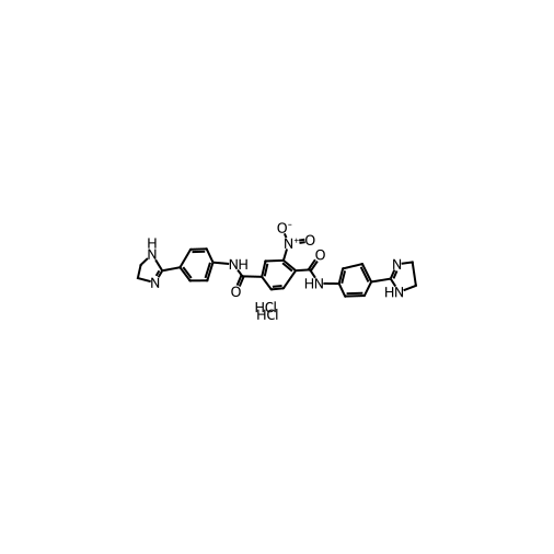 Cl.Cl.O=C(Nc1ccc(C2=NCCN2)cc1)c1ccc(C(=O)Nc2ccc(C3=NCCN3)cc2)c([N+](=O)[O-])c1